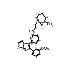 COc1cccc(-c2nc3sccn3c2-c2ccnc(NCCN3CCCCN(C)[S+]3[O-])n2)c1